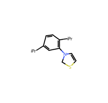 CC(C)c1ccc(C(C)C)c(N2C=CSC2)c1